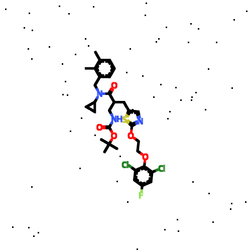 Cc1cccc(CN(C(=O)C(CNC(=O)OC(C)(C)C)Cc2cnc(OCCOc3c(Cl)cc(F)cc3Cl)s2)C2CC2)c1C